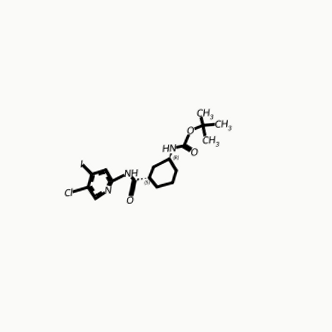 CC(C)(C)OC(=O)N[C@@H]1CCC[C@H](C(=O)Nc2cc(I)c(Cl)cn2)C1